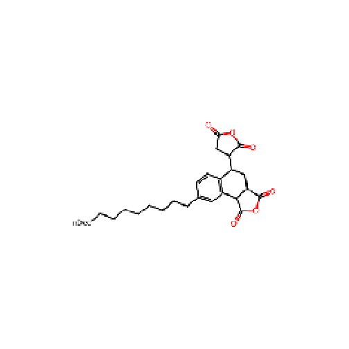 CCCCCCCCCCCCCCCCCCc1ccc2c(c1)C1C(=O)OC(=O)C1CC2C1CC(=O)OC1=O